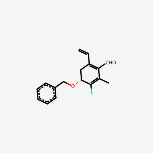 C=CC1=C(C=O)C(C)=C(F)[C@H](OCc2ccccc2)C1